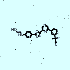 CC(C)(C#N)c1cc(-c2cncc(-c3nnc(-c4ccc(NCCO)cc4)o3)n2)ccn1